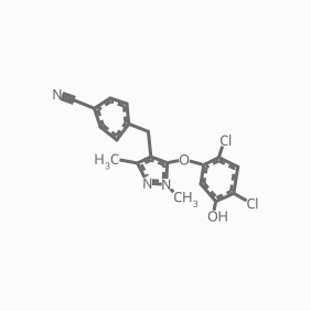 Cc1nn(C)c(Oc2cc(O)c(Cl)cc2Cl)c1Cc1ccc(C#N)cc1